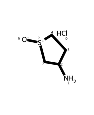 Cl.NC1CC[S+]([O-])C1